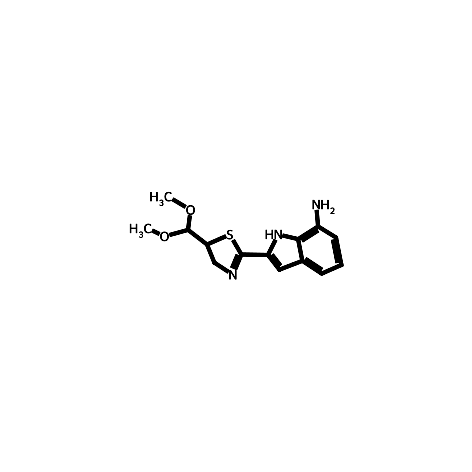 COC(OC)C1CN=C(c2cc3cccc(N)c3[nH]2)S1